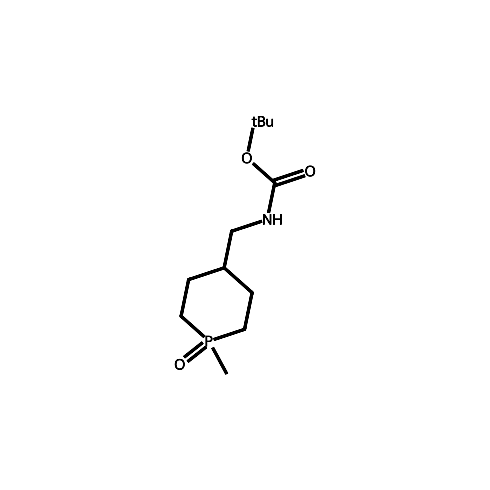 CC(C)(C)OC(=O)NCC1CCP(C)(=O)CC1